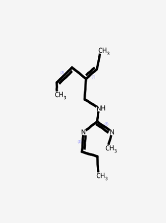 C/C=C\C(=C/C)CNC(/N=C\CC)=N/C